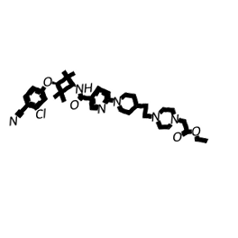 CCOC(=O)CN1CCN(CCC2CCN(c3ccc(C(=O)N[C@H]4C(C)(C)[C@H](Oc5ccc(C#N)c(Cl)c5)C4(C)C)cn3)CC2)CC1